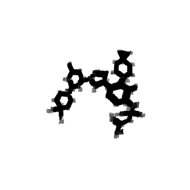 Cc1cc(-n2ncc(-c3ccc(NS(=O)(=O)CC(=O)O)c(C)c3N3CCC4(CC3)CC4)n2)nc(N2CCC(F)(F)CC2)n1